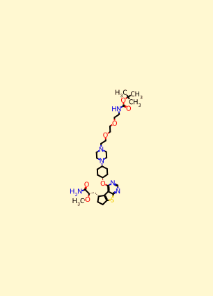 CO[C@@H](C[C@H]1CCc2sc3ncnc(O[C@H]4CC[C@H](N5CCN(CCOCCOCCNC(=O)OC(C)(C)C)CC5)CC4)c3c21)C(N)=O